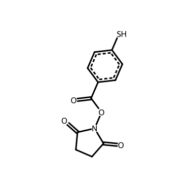 O=C(ON1C(=O)CCC1=O)c1ccc(S)cc1